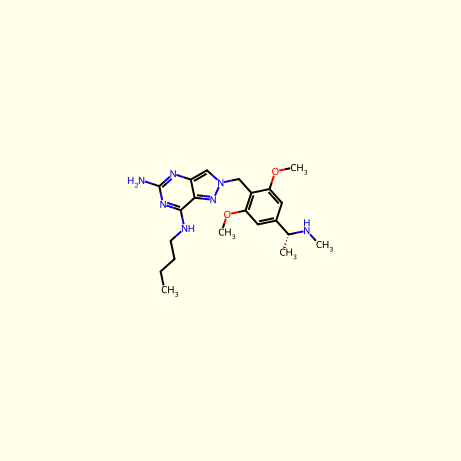 CCCCNc1nc(N)nc2cn(Cc3c(OC)cc([C@@H](C)NC)cc3OC)nc12